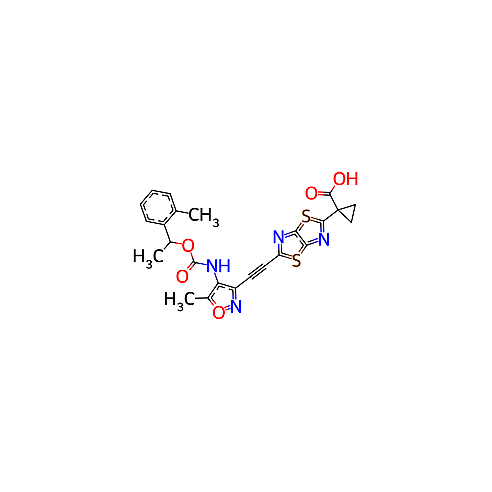 Cc1ccccc1C(C)OC(=O)Nc1c(C#Cc2nc3sc(C4(C(=O)O)CC4)nc3s2)noc1C